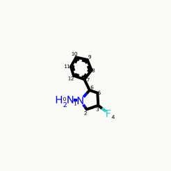 NN1CC(F)CC1c1ccccc1